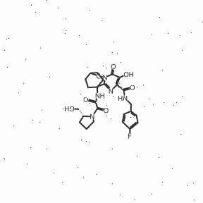 O=C(NC12CCC(CC1)Cn1c2nc(C(=O)NCc2ccc(F)cc2)c(O)c1=O)C(=O)N1CCC[C@@H]1CO